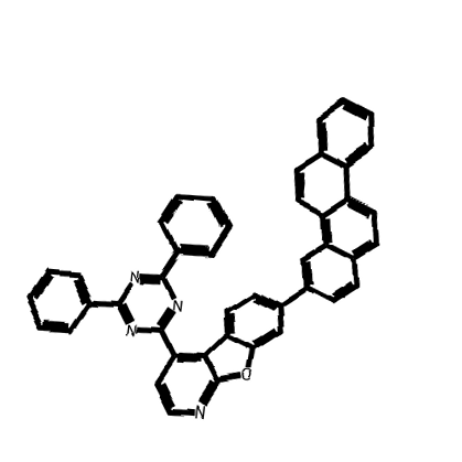 c1ccc(-c2nc(-c3ccccc3)nc(-c3ccnc4oc5cc(-c6ccc7ccc8c9ccccc9ccc8c7c6)ccc5c34)n2)cc1